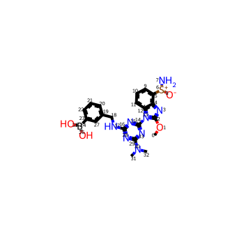 COc1nc2c([S+](N)[O-])cccc2n1-c1nc(NCc2cccc(B(O)O)c2)nc(N(C)C)n1